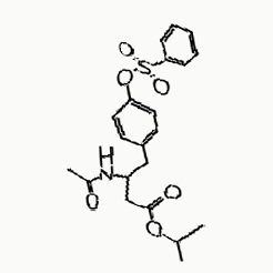 CC(=O)NC(CC(=O)OC(C)C)Cc1ccc(OS(=O)(=O)c2ccccc2)cc1